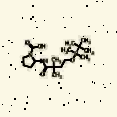 CC(C)(CCO[Si](C)(C)C(C)(C)C)C(=O)NC1CCCN1C(=O)O